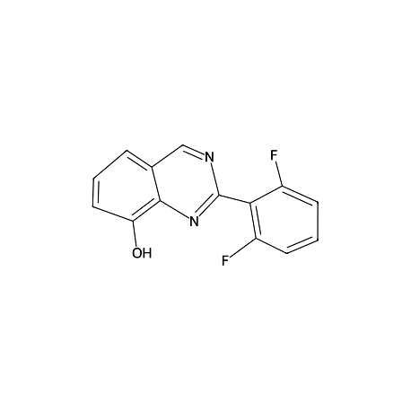 Oc1cccc2cnc(-c3c(F)cccc3F)nc12